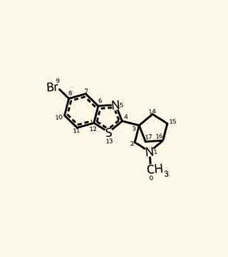 CN1CC2(c3nc4cc(Br)ccc4s3)CCC1C2